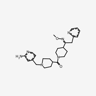 CON=C(Cc1ccccn1)C1CCN(C(=O)C2CCN(Cc3ccnc(N)c3)CC2)CC1